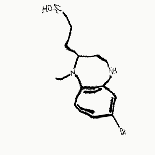 CN1c2ccc(Br)cc2NCC1CCC(=O)O